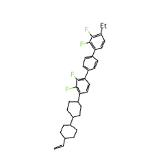 C=CC1CCC(C2CCC(c3ccc(-c4ccc(-c5ccc(CC)c(F)c5F)cc4)c(F)c3F)CC2)CC1